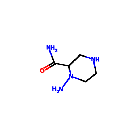 NC(=O)C1CNCCN1N